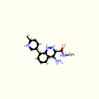 CCCNC(=O)c1nnc2c(-c3ccc(C)nc3)cccc2c1N